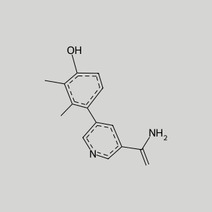 C=C(N)c1cncc(-c2ccc(O)c(C)c2C)c1